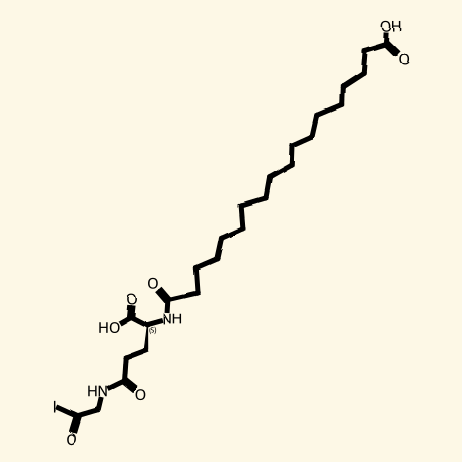 O=C(O)CCCCCCCCCCCCCCCCC(=O)N[C@@H](CCC(=O)NCC(=O)I)C(=O)O